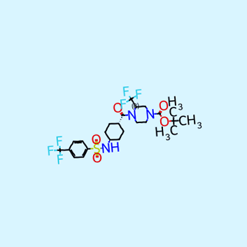 CC(C)(C)OC(=O)N1CCN(C(=O)[C@H]2CC[C@H](NS(=O)(=O)c3ccc(C(F)(F)F)cc3)CC2)[C@@H](C(F)(F)F)C1